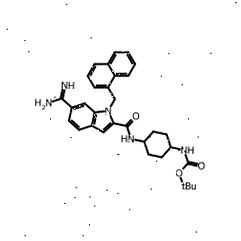 CC(C)(C)OC(=O)NC1CCC(NC(=O)c2cc3ccc(C(=N)N)cc3n2Cc2cccc3ccccc23)CC1